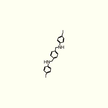 Ic1ccc(NCc2ccc(CNc3ccc(I)cc3)cc2)cc1